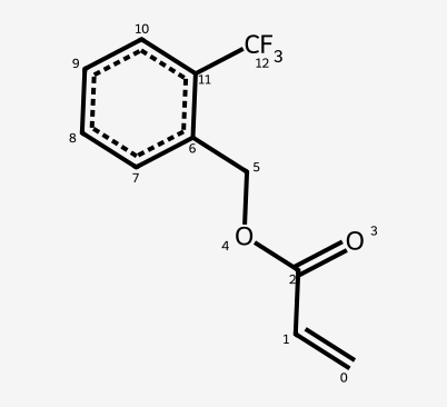 C=CC(=O)OCc1ccccc1C(F)(F)F